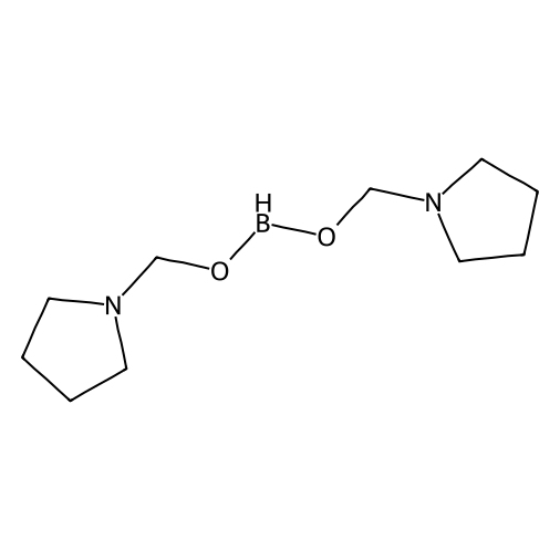 B(OCN1CCCC1)OCN1CCCC1